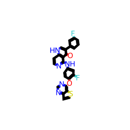 O=c1c(-c2cccc(F)c2)c[nH]c2ccnc(Nc3ccc(Oc4ncnc5ccsc45)c(F)c3)c12